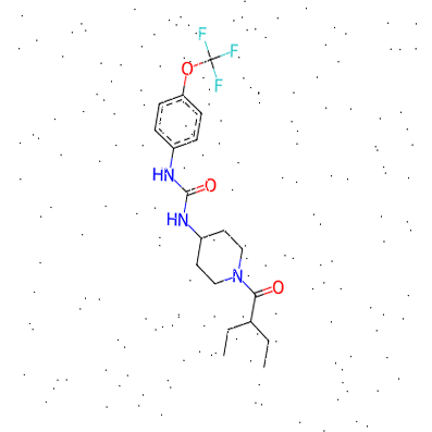 CCC(CC)C(=O)N1CCC(NC(=O)Nc2ccc(OC(F)(F)F)cc2)CC1